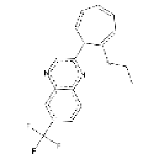 CCSC1=CC=CC=CC1c1cnc2cc(C(F)(F)F)ccc2n1